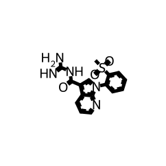 CS(=O)(=O)c1ccccc1-n1cc(C(=O)NC(=N)N)c2cccnc21